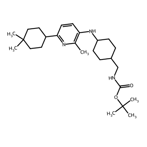 Cc1nc(C2CCC(C)(C)CC2)ccc1NC1CCC(CNC(=O)OC(C)(C)C)CC1